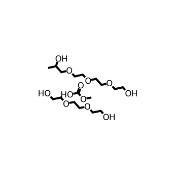 CC(O)COCCOCCOCCO.COC(=O)O.OCCOCCOCCO